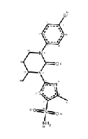 Cc1nc(N2C(=O)N(c3ccc(Br)cc3)CCC2C)sc1S(N)(=O)=O